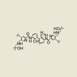 Cc1c(NC(=O)c2cc(C3CC3)c(CNCC3(O)CC3)cn2)cccc1-c1cccc(NC(=O)c2cc(C3CC3)c(CNCC3(O)CC3)cn2)c1C